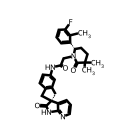 Cc1c(F)cccc1[C@@H]1CCC(C)(C)C(=O)N1CC(=O)Nc1ccc2c(c1)C[C@@]1(C2)C(=O)Nc2ncccc21